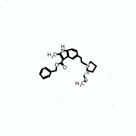 COC[C@H]1CCCN1CCc1ccc2[nH]c(C)c(C(=O)OCc3ccccc3)c2c1